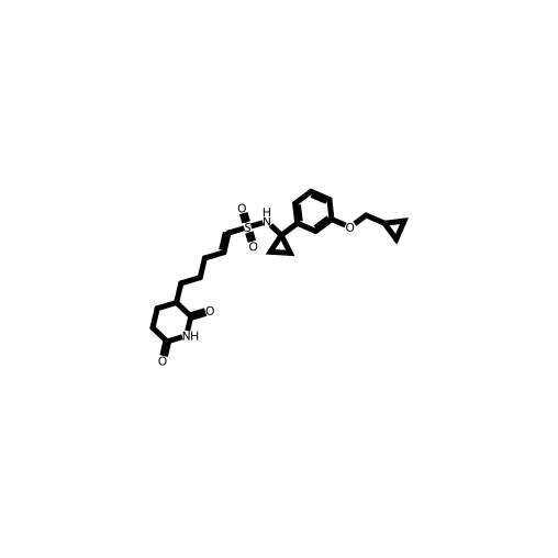 O=C1CCC(CCC/C=C/S(=O)(=O)NC2(c3cccc(OCC4CC4)c3)CC2)C(=O)N1